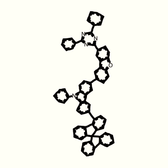 c1ccc(-c2nc(-c3ccccc3)nc(-c3ccc4oc5ccc(-c6ccc7c(c6)c6cc(-c8cccc9c8-c8ccccc8C98c9ccccc9-c9ccccc98)ccc6n7-c6ccccc6)cc5c4c3)n2)cc1